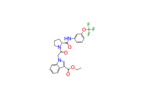 CCOC(=O)c1cn(CC(=O)N2CCC[C@H]2C(=O)Nc2cccc(OC(F)(F)F)c2)c2ccccc12